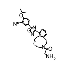 CC(C)Oc1ccc(-c2nc(-c3cccc4c3CCCCCN(C(=O)CN)CC4)no2)cc1C#N